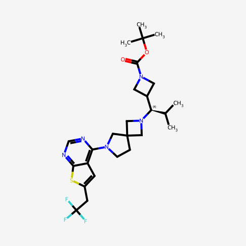 CC(C)[C@H](C1CN(C(=O)OC(C)(C)C)C1)N1CC2(CCN(c3ncnc4sc(CC(F)(F)F)cc34)C2)C1